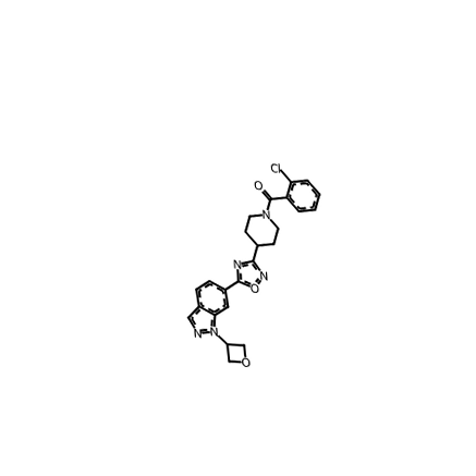 O=C(c1ccccc1Cl)N1CCC(c2noc(-c3ccc4cnn(C5COC5)c4c3)n2)CC1